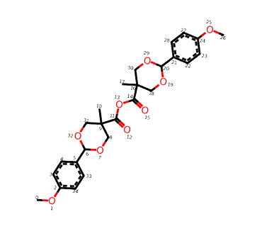 COc1ccc(C2OCC(C)(C(=O)OC(=O)C3(C)COC(c4ccc(OC)cc4)OC3)CO2)cc1